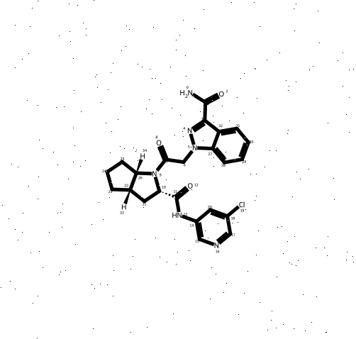 NC(=O)c1nn(CC(=O)N2[C@H](C(=O)Nc3cncc(Cl)c3)C[C@@H]3CCC[C@@H]32)c2ccccc12